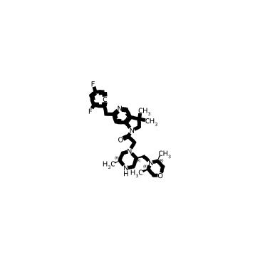 C[C@@H]1CN(CC(=O)N2CC(C)(C)c3cnc(Cc4ccc(F)cc4F)cc32)[C@@H](CN2[C@H](C)COC[C@H]2C)CN1